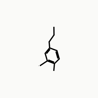 [CH2]c1cc(CCC)ccc1C